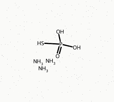 N.N.N.O=P(O)(O)S